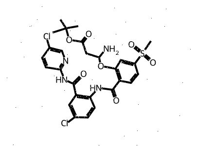 CC(C)(C)OC(=O)CC(N)Oc1cc(S(C)(=O)=O)ccc1C(=O)Nc1ccc(Cl)cc1C(=O)Nc1ccc(Cl)cn1